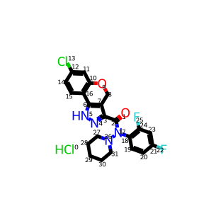 Cl.O=C(c1n[nH]c2c1COc1cc(Cl)ccc1-2)N(c1ccc(F)cc1F)N1CCCCC1